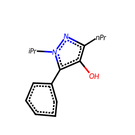 CCCc1nn(C(C)C)c(-c2ccccc2)c1O